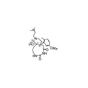 COc1ccc(C)c([C@]23CCN(CCN(C)C)[C@H](C)[C@]2(O)CCCNC(=O)NC(=O)C3)c1